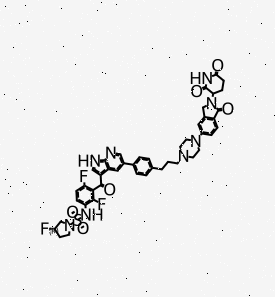 O=C1CCC(N2Cc3cc(N4CCN(CCCc5ccc(-c6cnc7[nH]cc(C(=O)c8c(F)ccc(NS(=O)(=O)N9CC[C@@H](F)C9)c8F)c7c6)cc5)CC4)ccc3C2=O)C(=O)N1